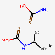 CCCC(CC)NC(O)=S.NC(O)=S.[In]